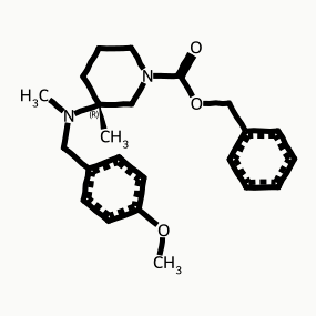 COc1ccc(CN(C)[C@]2(C)CCCN(C(=O)OCc3ccccc3)C2)cc1